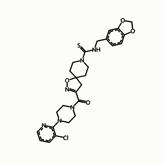 O=C(C1=NOC2(CCN(C(=S)NCc3ccc4c(c3)OCO4)CC2)C1)N1CCN(c2ncccc2Cl)CC1